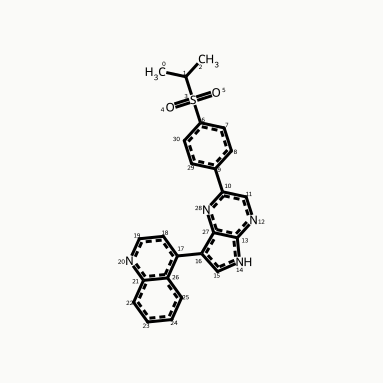 CC(C)S(=O)(=O)c1ccc(-c2cnc3[nH]cc(-c4ccnc5ccccc45)c3n2)cc1